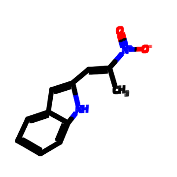 C/C(=C\c1cc2ccccc2[nH]1)[N+](=O)[O-]